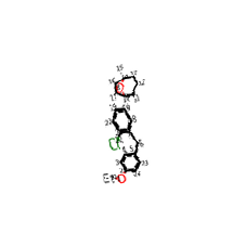 CCOc1ccc(Cc2cc([C@]34CCC[C@](C)(CC3)O4)ccc2Cl)cc1